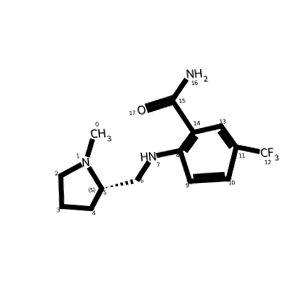 CN1CCC[C@H]1CNc1ccc(C(F)(F)F)cc1C(N)=O